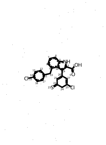 O=C(O)c1[nH]c2cccc(Cc3ccc(Cl)cc3)c2c1C1=CC(=S)CC(Cl)=C1